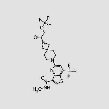 CNC(=O)c1csc2c(C(F)(F)F)cc(N3CCC4(CC3)CN(C(=O)COC(F)(F)F)C4)nc12